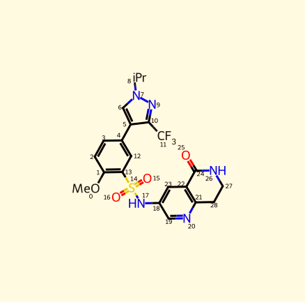 COc1ccc(-c2cn(C(C)C)nc2C(F)(F)F)cc1S(=O)(=O)Nc1cnc2c(c1)C(=O)NCC2